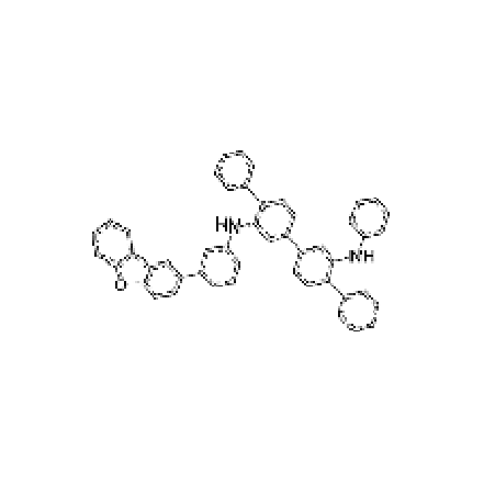 c1ccc(Nc2cc(-c3ccc(-c4ccccc4)c(Nc4cccc(-c5ccc6oc7ccccc7c6c5)c4)c3)ccc2-c2ccccc2)cc1